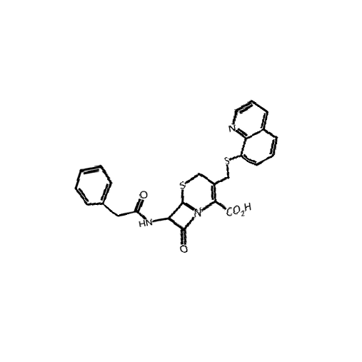 O=C(Cc1ccccc1)NC1C(=O)N2C(C(=O)O)=C(CSc3cccc4cccnc34)CSC12